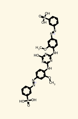 COc1cc(/N=N/c2cccc(P(=O)(O)O)c2)ccc1Nc1nc(O)nc(Nc2ccc(/N=N/c3cccc(P(=O)(O)O)c3)cc2OC)n1